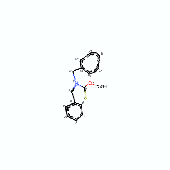 S=C(O[SeH])N(Cc1ccccc1)Cc1ccccc1